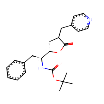 CC(C)(C)OC(=O)N[C@@H](Cc1ccccc1)[C@@H]1CC(Cc2ccncc2)C(=O)O1